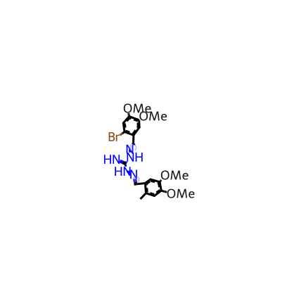 COc1cc(C)c(/C=N/NC(=N)N/N=C/c2cc(OC)c(OC)cc2Br)cc1OC